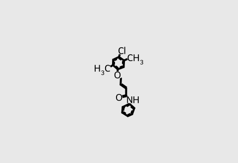 Cc1cc(OCC=CC(=O)Nc2ccccc2)c(C)cc1Cl